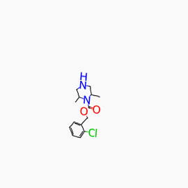 CC1CNCC(C)N1C(=O)OCc1ccccc1Cl